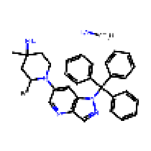 CC1(N)CCN(c2cnc3cnn(C(c4ccccc4)(c4ccccc4)c4ccccc4)c3c2)C(C(C)(C)C)C1.NC(=O)O